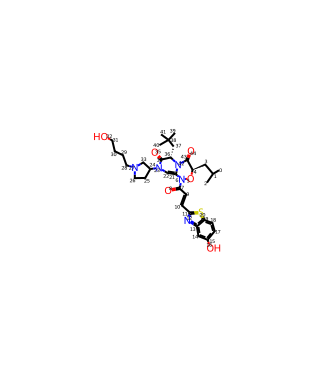 CC(C)C[C@H]1ON(C(=O)/C=C/c2nc3cc(O)ccc3s2)C2=CN(C3CCN(CCCCO)C3)C(=O)[C@H](CC(C)(C)C)N2C1=O